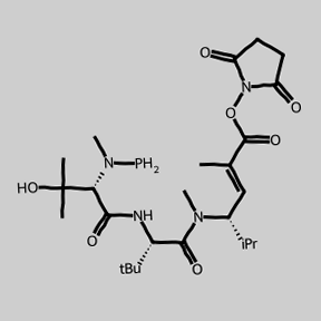 C/C(=C\[C@H](C(C)C)N(C)C(=O)[C@@H](NC(=O)[C@@H](N(C)P)C(C)(C)O)C(C)(C)C)C(=O)ON1C(=O)CCC1=O